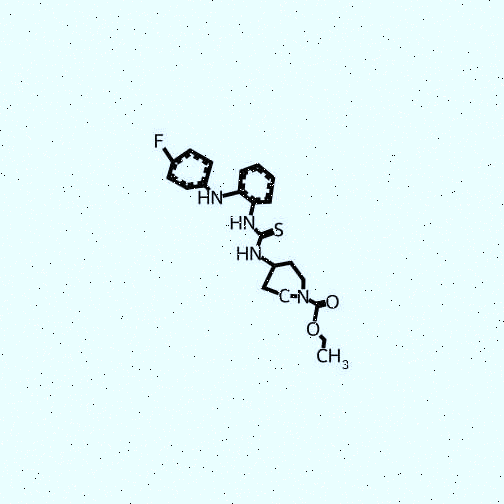 CCOC(=O)N1CCC(NC(=S)Nc2ccccc2Nc2ccc(F)cc2)CC1